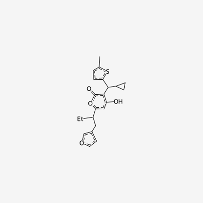 CCC(Cc1ccoc1)c1cc(O)c(C(c2ccc(C)s2)C2CC2)c(=O)o1